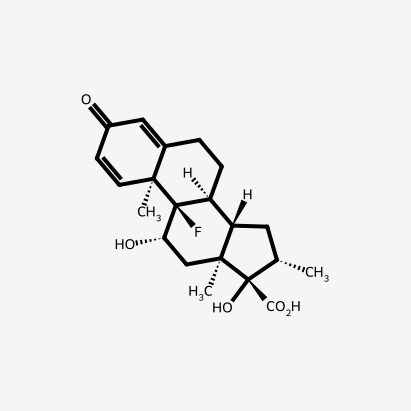 C[C@H]1C[C@H]2[C@@H]3CCC4=CC(=O)C=C[C@]4(C)[C@@]3(F)[C@@H](O)C[C@]2(C)[C@]1(O)C(=O)O